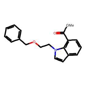 COC(=O)c1cccc2ccn(CCOCc3ccccc3)c12